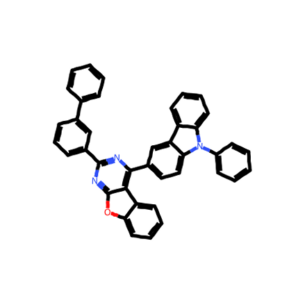 c1ccc(-c2cccc(-c3nc(-c4ccc5c(c4)c4ccccc4n5-c4ccccc4)c4c(n3)oc3ccccc34)c2)cc1